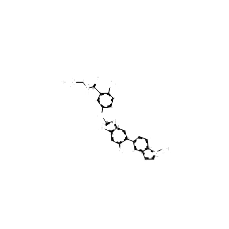 Cc1ccc(Oc2nc3cc(-c4ccc5c(ccn5C)c4)c(Cl)cc3[nH]2)cc1C(=O)NCC(=O)O